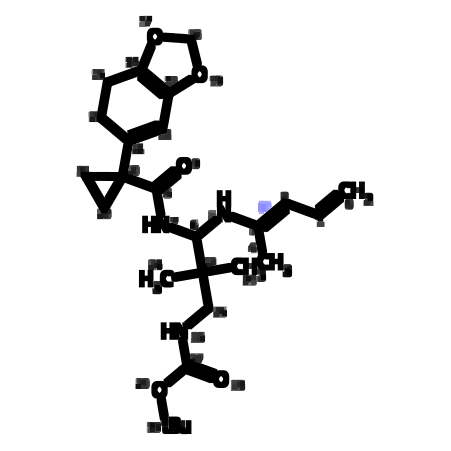 C=C/C=C(\C)NC(NC(=O)C1(C2=CC3=C(CC2)OCO3)CC1)C(C)(C)CNC(=O)OC(C)(C)C